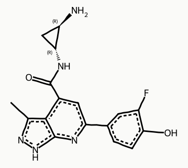 Cc1n[nH]c2nc(-c3ccc(O)c(F)c3)cc(C(=O)N[C@@H]3C[C@H]3N)c12